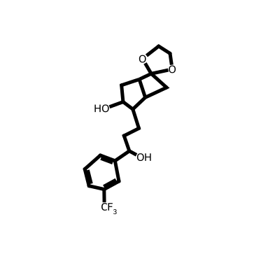 OC(CCC1C(O)CC2C1CC21OCCO1)c1cccc(C(F)(F)F)c1